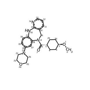 CO[C@H]1CC[C@H](C(=O)N2Cc3cccnc3Nc3ccc(N4CCOCC4)cc32)CC1